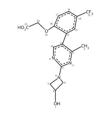 Cc1nc(N2CC(O)C2)ncc1-c1cc(C(F)(F)F)ccc1OCC(=O)O